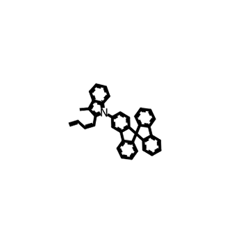 C=C/C=C\c1c(C)c2ccccc2n1-c1ccc2c(c1)-c1ccccc1C21c2ccccc2-c2ccccc21